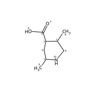 CC1CC(C(=O)O)C(C)CN1